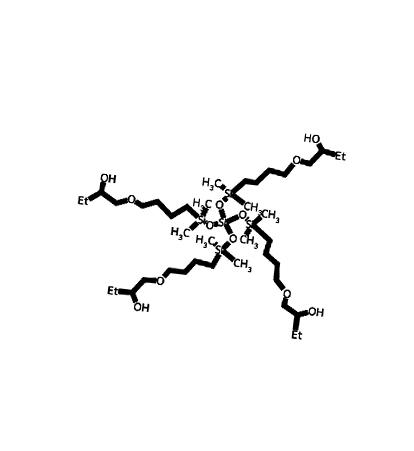 CCC(O)COCCCC[Si](C)(C)O[Si](O[Si](C)(C)CCCCOCC(O)CC)(O[Si](C)(C)CCCCOCC(O)CC)O[Si](C)(C)CCCCOCC(O)CC